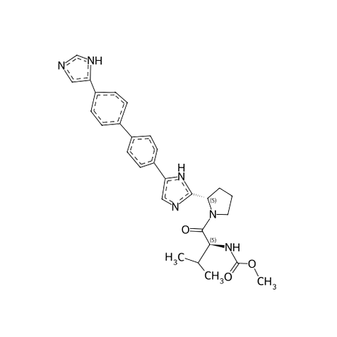 COC(=O)N[C@H](C(=O)N1CCC[C@H]1c1ncc(-c2ccc(-c3ccc(-c4cnc[nH]4)cc3)cc2)[nH]1)C(C)C